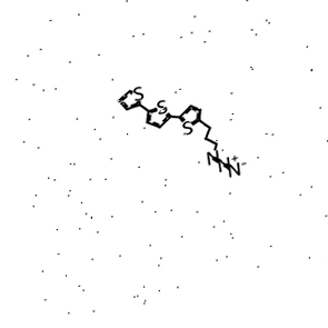 [N-]=[N+]=NCCCc1ccc(-c2ccc(-c3cccs3)s2)s1